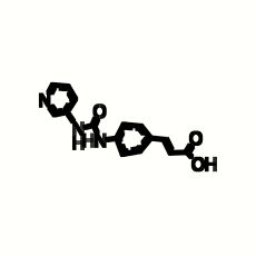 O=C(O)C=Cc1ccc(NC(=O)Nc2cccnc2)cc1